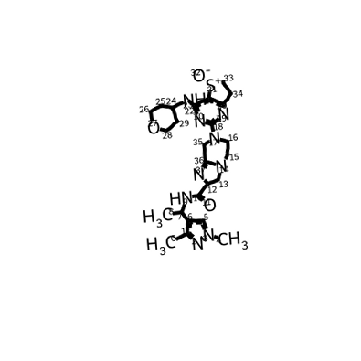 Cc1nn(C)cc1C(C)NC(=O)C1CN2CCN(c3nc4c(c(NC5CCOCC5)n3)[S+]([O-])CC4)CC2=N1